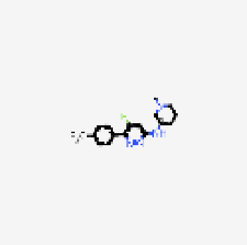 CN1CCC[C@@H](Nc2cc(F)c(-c3ccc(C(F)(F)F)cc3)nn2)C1